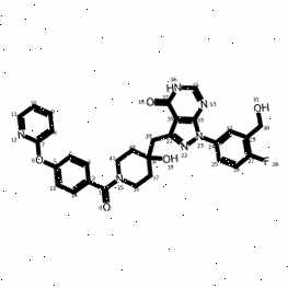 O=C(c1ccc(Oc2ccccn2)cc1)N1CCC(O)(Cc2nn(-c3ccc(F)c(CO)c3)c3nc[nH]c(=O)c23)CC1